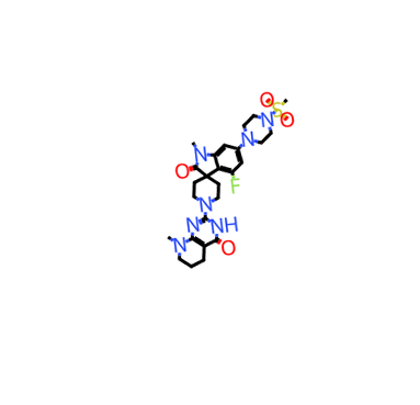 CN1CCCc2c1nc(N1CCC3(CC1)C(=O)N(C)c1cc(N4CCN(S(C)(=O)=O)CC4)cc(F)c13)[nH]c2=O